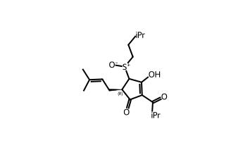 CC(C)=CC[C@@H]1C(=O)C(C(=O)C(C)C)=C(O)C1[S+]([O-])CCC(C)C